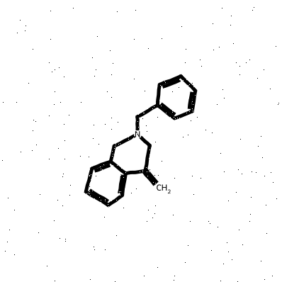 C=C1CN(Cc2ccccc2)Cc2ccccc21